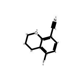 N#Cc1ccc(F)c2c1OCCC2